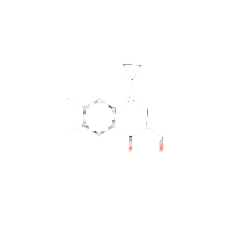 O=CC1CN(C2CC2)c2cc(Cl)c(F)cc2C1=O